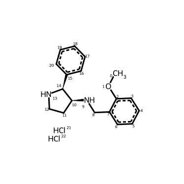 COc1ccccc1CN[C@H]1CCN[C@H]1c1ccccc1.Cl.Cl